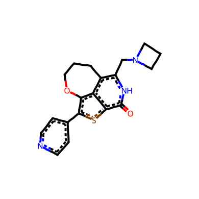 O=c1[nH]c(CN2CCC2)c2c3c(c(-c4ccncc4)sc13)OCCC2